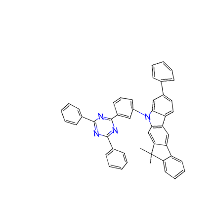 CC1(C)c2ccccc2-c2cc3c4ccc(-c5ccccc5)cc4n(-c4cccc(-c5nc(-c6ccccc6)nc(-c6ccccc6)n5)c4)c3cc21